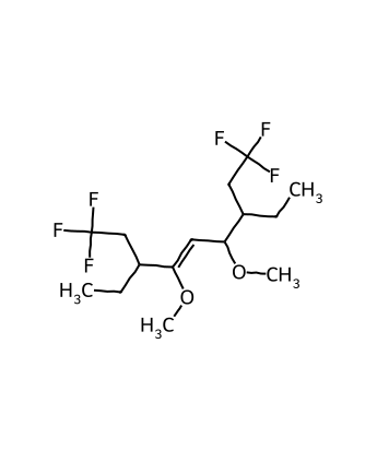 CCC(CC(F)(F)F)/C(=C/C(OC)C(CC)CC(F)(F)F)OC